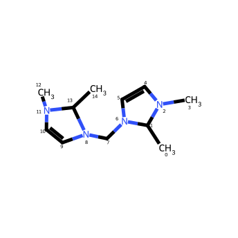 CC1N(C)C=CN1CN1C=CN(C)C1C